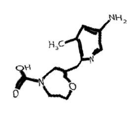 Cc1cc(N)cnc1C1CN(C(=O)O)CCO1